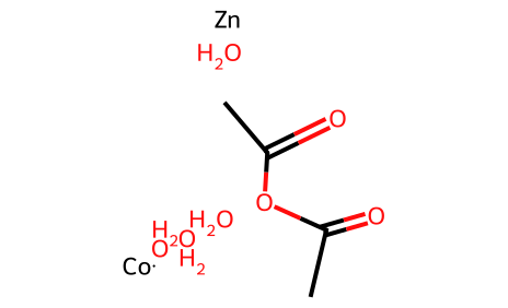 CC(=O)OC(C)=O.O.O.O.O.[Co].[Zn]